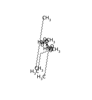 CCCCCCCCCCCCCCCCCCC(CCCCCCCCCCCCCCCCCC)C(=O)N[C@@H](CSSC[C@H](NC(=O)C(CCCCCCCCCCCCCCCCCC)CCCCCCCCCCCCCCCCCC)C(=O)OC)C(=O)OC